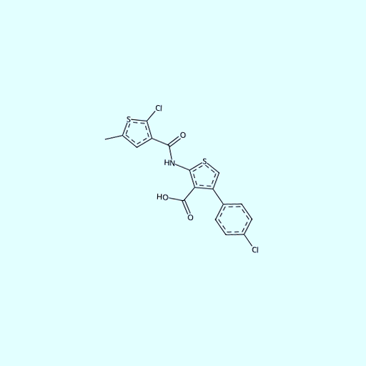 Cc1cc(C(=O)Nc2scc(-c3ccc(Cl)cc3)c2C(=O)O)c(Cl)s1